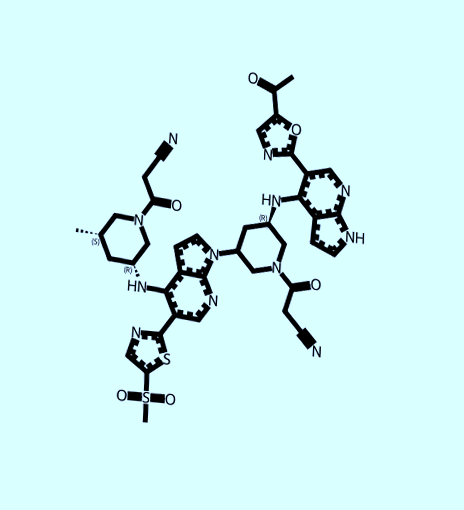 CC(=O)c1cnc(-c2cnc3[nH]ccc3c2N[C@@H]2CC(n3ccc4c(N[C@@H]5C[C@H](C)CN(C(=O)CC#N)C5)c(-c5ncc(S(C)(=O)=O)s5)cnc43)CN(C(=O)CC#N)C2)o1